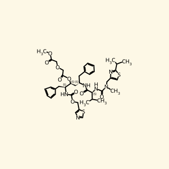 COC(=O)COCC(=O)O[C@@H](C[C@H](Cc1ccccc1)NC(=O)[C@@H](NC(=O)N(C)Cc1csc(C(C)C)n1)C(C)C)[C@H](Cc1ccccc1)NC(=O)OCc1cncs1